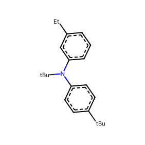 CCc1cccc(N(c2ccc(C(C)(C)C)cc2)C(C)(C)C)c1